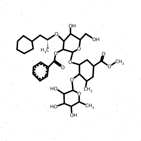 COC(=O)C1CC(C)C(OC2OC(C)C(O)C(O)C2O)C(OC2OC(CO)C(O)C(O[C@H](C)CC3CCCCC3)C2OC(=O)c2ccccc2)C1